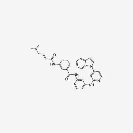 CN(C)CC=CC(=O)Nc1cccc(C(=O)Nc2cccc(Nc3nccc(-n4ccc5ccccc54)n3)c2)c1